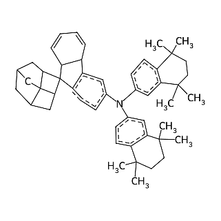 CC1(C)CCC(C)(C)c2cc(N(c3ccc4c(c3)C3C=CC=CC3C43C4CC5CC6CC3C64C5)c3ccc4c(c3)C(C)(C)CCC4(C)C)ccc21